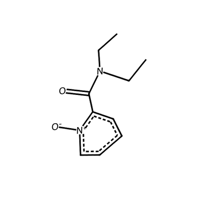 CCN(CC)C(=O)c1cccc[n+]1[O-]